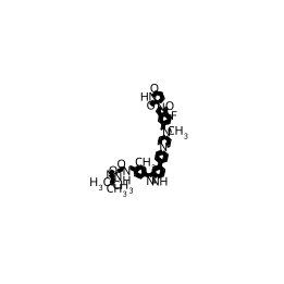 Cc1cc(-c2n[nH]c3ccc(-c4ccc(N5CCC(N(C)Cc6cc(F)c7c(c6)CN(C6CCC(=O)NC6=O)C7=O)CC5)cc4)cc23)ccc1CNC(=O)c1nc(C(C)(C)C)no1